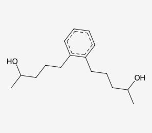 CC(O)CCCc1ccccc1CCCC(C)O